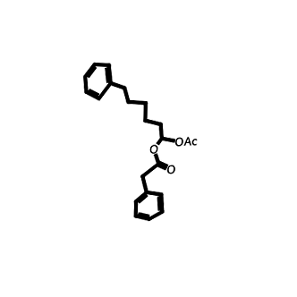 CC(=O)OC(CCCCCc1ccccc1)OC(=O)Cc1ccccc1